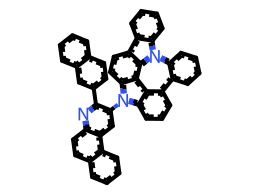 c1ccc2cc(-c3nc4ccc5ccccc5c4cc3-n3c4cccc5c6ccccc6n6c7ccccc7c7ccc3c(c54)c76)ccc2c1